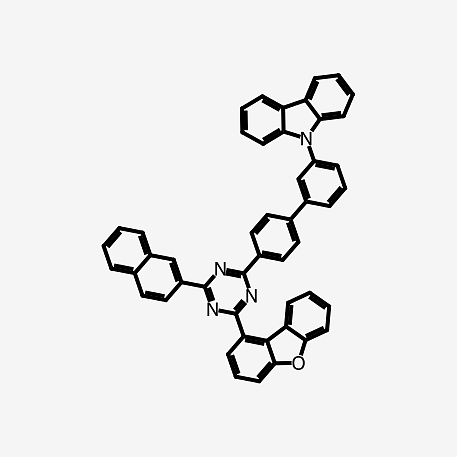 c1cc(-c2ccc(-c3nc(-c4ccc5ccccc5c4)nc(-c4cccc5oc6ccccc6c45)n3)cc2)cc(-n2c3ccccc3c3ccccc32)c1